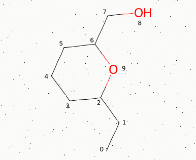 CCC1CCCC(CO)O1